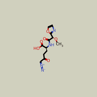 CO[C@H](C(=O)N[C@@H](CCC(=O)C=[N+]=[N-])C(=O)O)c1ncco1